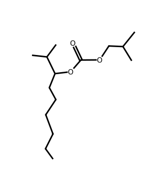 CCCCCCC(OC(=O)OCC(C)C)C(C)C